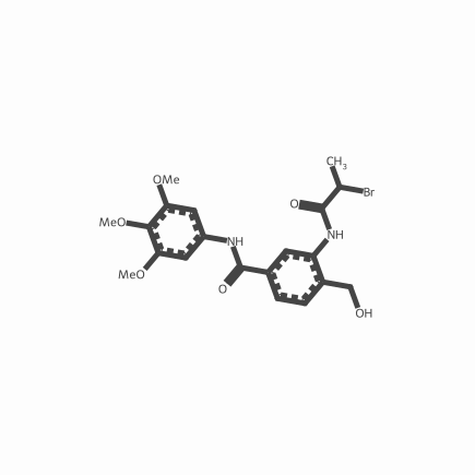 COc1cc(NC(=O)c2ccc(CO)c(NC(=O)C(C)Br)c2)cc(OC)c1OC